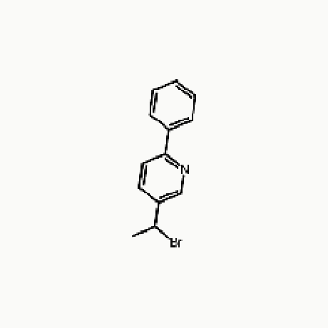 CC(Br)c1ccc(-c2ccccc2)nc1